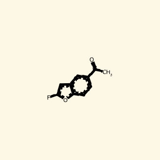 CC(=O)c1ccc2oc(F)cc2c1